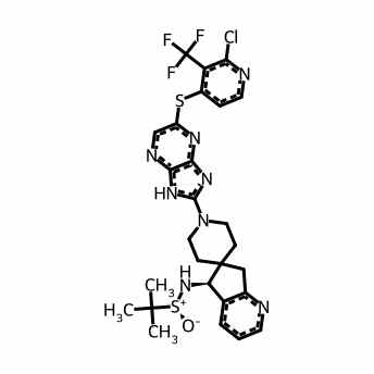 CC(C)(C)[S@+]([O-])N[C@@H]1c2cccnc2CC12CCN(c1nc3nc(Sc4ccnc(Cl)c4C(F)(F)F)cnc3[nH]1)CC2